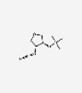 C[Si](C)(C)O[C@@H]1COC[C@@H]1N=[N+]=[N-]